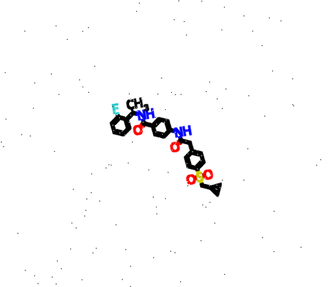 C[C@H](NC(=O)c1ccc(NC(=O)Cc2ccc(S(=O)(=O)CC3CC3)cc2)cc1)c1ccccc1F